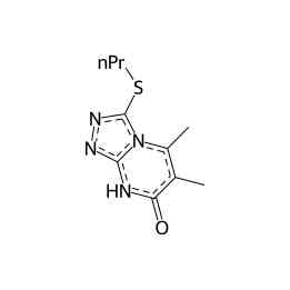 CCCSc1nnc2[nH]c(=O)c(C)c(C)n12